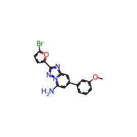 COc1cccc(-c2cc(N)n3nc(-c4ccc(Br)o4)nc3c2)c1